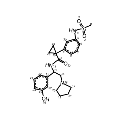 CS(=O)(=O)Nc1cccc(C2(C(=O)NC(CN3CCCC3)c3cccc(O)c3)CC2)c1